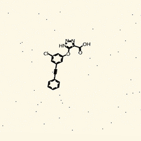 O=C(O)c1nn[nH]c1Oc1cc(Cl)cc(C#Cc2ccccc2)c1